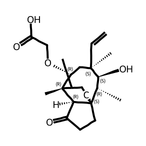 C=C[C@]1(C)C[C@@H](OCC(=O)O)[C@]2(C)C(C)CC[C@]3(CCC(=O)[C@H]32)[C@@H](C)[C@@H]1O